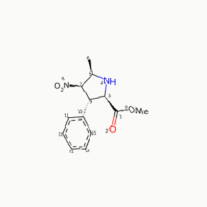 COC(=O)[C@@H]1N[C@H](C)[C@H]([N+](=O)[O-])[C@H]1c1ccccc1